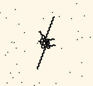 CCCCCCCCCCCCCC(OCCCC)=C(OCCCC)C(OC)OC(OC)C(OCCCC)=C(CCCCCCCCCCCCC)OCCCC